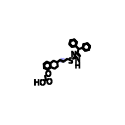 O=C(O)COc1cccc2c1CCC(/C=C/CSc1nc(C(c3ccccc3)c3ccccc3)c[nH]1)C2